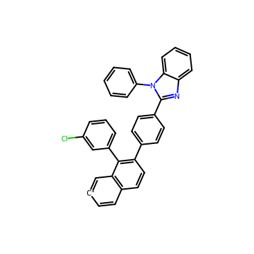 Clc1cccc(-c2c(-c3ccc(-c4nc5ccccc5n4-c4ccccc4)cc3)ccc3c2C=[C+]C=C3)c1